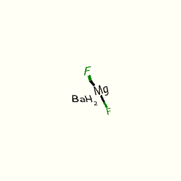 [BaH2].[F][Mg][F]